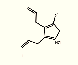 C=CCC1=CC[C]([Zr])=C1CC=C.Cl.Cl